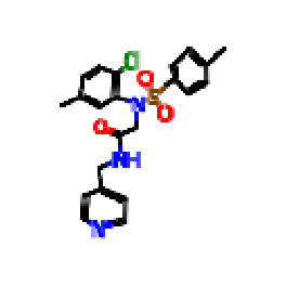 Cc1ccc(S(=O)(=O)N(CC(=O)NCc2ccncc2)c2cc(C)ccc2Cl)cc1